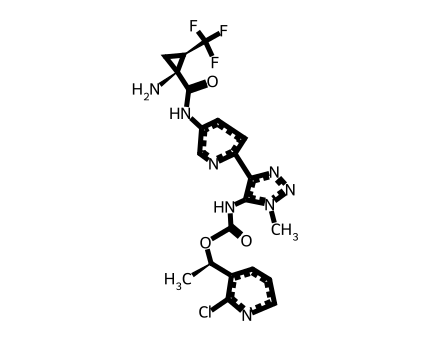 C[C@@H](OC(=O)Nc1c(-c2ccc(NC(=O)[C@]3(N)C[C@H]3C(F)(F)F)cn2)nnn1C)c1cccnc1Cl